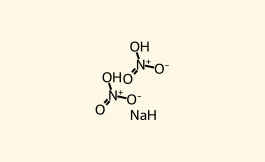 O=[N+]([O-])O.O=[N+]([O-])O.[NaH]